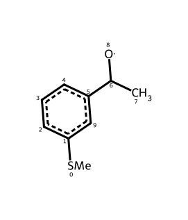 CSc1cccc(C(C)[O])c1